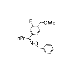 CCCC(=NOCc1ccccc1)c1ccc(COC)c(F)c1